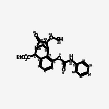 CCOC(=O)C1c2cccc(OC(=O)Nc3ccccc3)c2C2CN1C(=O)N2OS